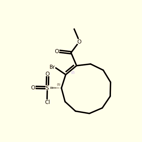 COC(=O)/C1=C(\Br)[C@@H](S(=O)(=O)Cl)CCCCCCCC1